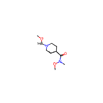 COBN1CCC(C(=O)N(C)OC)CC1